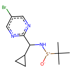 CC(C)(C)[S+]([O-])NC(c1ncc(Br)cn1)C1CC1